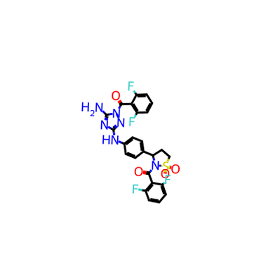 Nc1nc(Nc2ccc(C3CCS(=O)(=O)N3C(=O)c3c(F)cccc3F)cc2)nn1C(=O)c1c(F)cccc1F